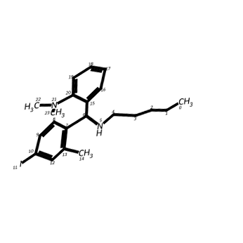 CCCCCNC(c1ccc(I)cc1C)c1ccccc1N(C)C